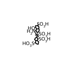 Nc1c(N=Nc2ccc3c(S(=O)(=O)O)cccc3c2S(=O)(=O)O)c(S(=O)(=O)O)cc2cc(S(=O)(=O)O)cc(O)c12